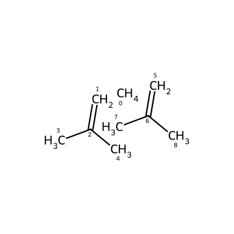 C.C=C(C)C.C=C(C)C